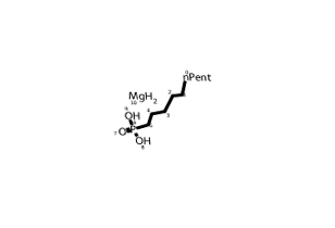 CCCCCCCCCCP(=O)(O)O.[MgH2]